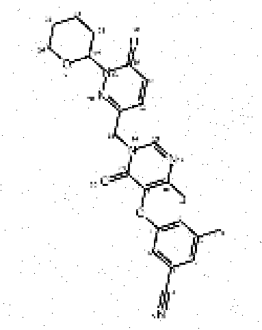 Cc1cc(C#N)cc(Oc2c(C)ncn(Cc3ccc(=O)n(C4CCCCO4)n3)c2=O)c1